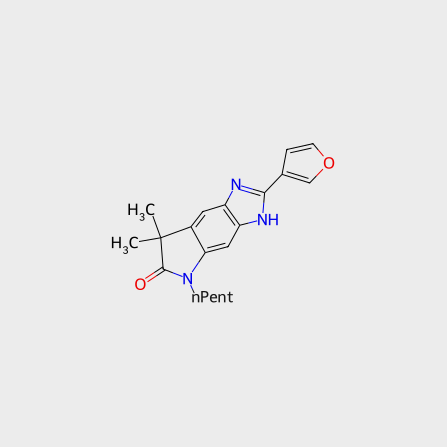 CCCCCN1C(=O)C(C)(C)c2cc3nc(-c4ccoc4)[nH]c3cc21